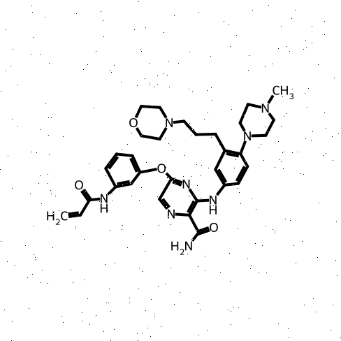 C=CC(=O)Nc1cccc(Oc2cnc(C(N)=O)c(Nc3ccc(N4CCN(C)CC4)c(CCCN4CCOCC4)c3)n2)c1